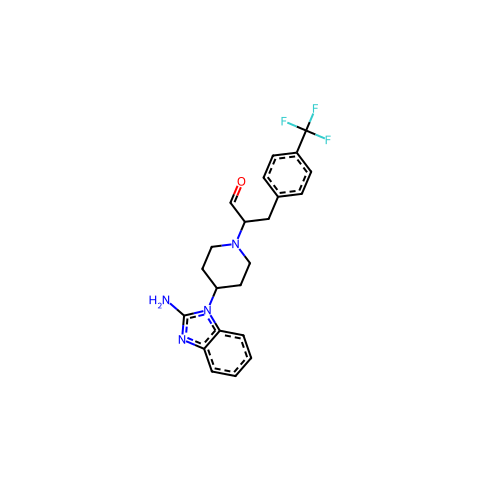 Nc1nc2ccccc2n1C1CCN(C(C=O)Cc2ccc(C(F)(F)F)cc2)CC1